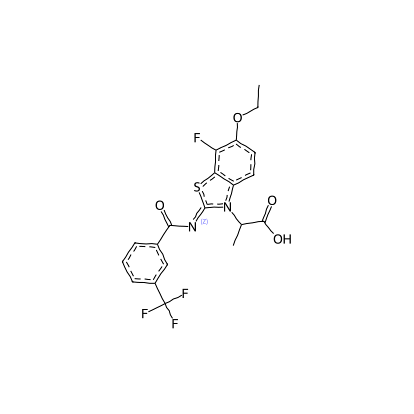 CCOc1ccc2c(s/c(=N\C(=O)c3cccc(C(F)(F)F)c3)n2C(C)C(=O)O)c1F